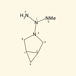 CNN(N)N1CC2CC2C1